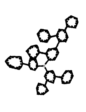 c1ccc(-c2ccc(N(c3cc(-c4ccccc4)cc(-c4ccccc4)c3)c3ccc(-c4ccc(-c5ccccc5)cc4-c4ccccc4)cc3-c3ccccc3)cc2)cc1